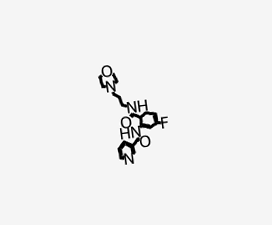 O=C(NC1=CC(F)=CCC1C(=O)NCCCN1CCOCC1)c1cccnc1